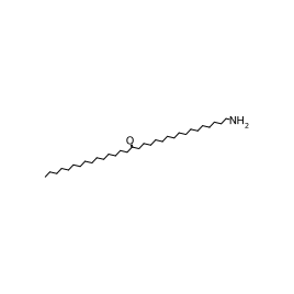 CCCCCCCCCCCCCCCC(=O)CCCCCCCCCCCCCCCCN